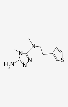 CN(CCc1ccsc1)c1nnc(N)n1C